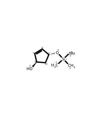 CC(C)(C)[Si](C)(C)O[C@H]1C=C[C@H](O)C1